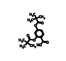 CC(C)(C)C(=O)Oc1ccc(C(=O)O)c(OC(=O)C(C)(C)C)c1